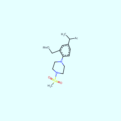 COCc1cc(C(C)C(C)=O)ccc1N1CCN(S(C)(=O)=O)CC1